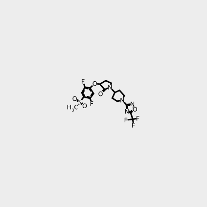 CS(=O)(=O)c1cc(F)c(OC2CCN(C3CCN(c4noc(C(F)(F)F)n4)CC3)C2=O)cc1F